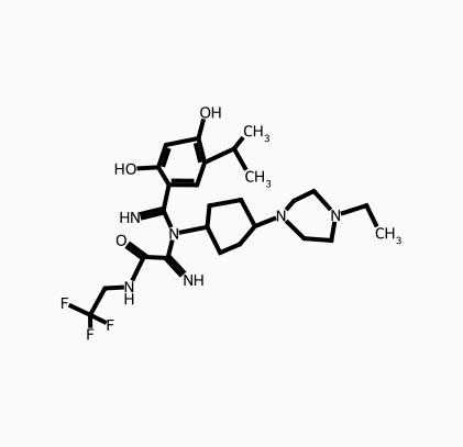 CCN1CCN(C2CCC(N(C(=N)C(=O)NCC(F)(F)F)C(=N)c3cc(C(C)C)c(O)cc3O)CC2)CC1